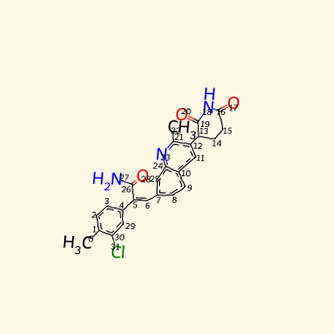 Cc1ccc(C(=Cc2ccc3cc(C4CCC(=O)NC4=O)c(C)nc3c2)C(N)=O)cc1Cl